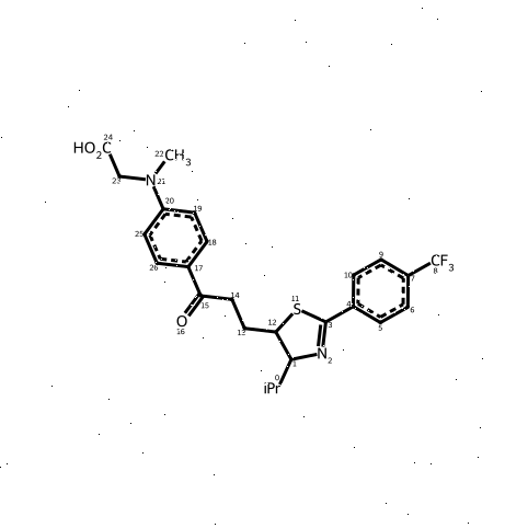 CC(C)C1N=C(c2ccc(C(F)(F)F)cc2)SC1CCC(=O)c1ccc(N(C)CC(=O)O)cc1